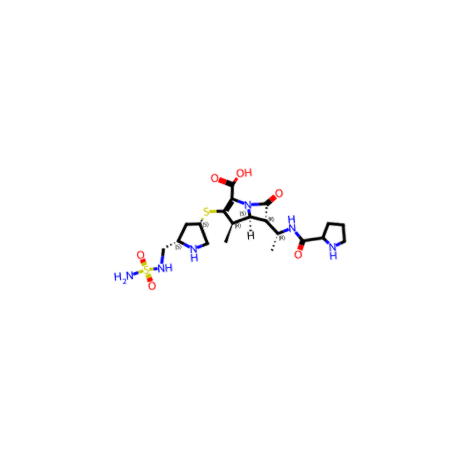 C[C@@H](NC(=O)C1CCCN1)[C@H]1C(=O)N2C(C(=O)O)=C(S[C@@H]3CN[C@H](CNS(N)(=O)=O)C3)[C@H](C)[C@H]12